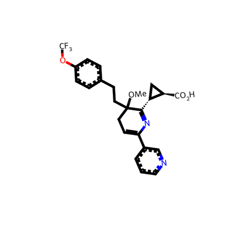 COC1(CCc2ccc(OC(F)(F)F)cc2)CC=C(c2cccnc2)N=C1[C@@H]1C[C@H]1C(=O)O